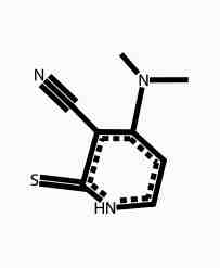 CN(C)c1cc[nH]c(=S)c1C#N